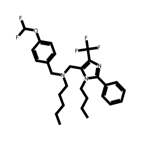 CCCCCN(Cc1ccc(OC(F)F)cc1)Cc1c(C(F)(F)F)nc(-c2ccccc2)n1CCCC